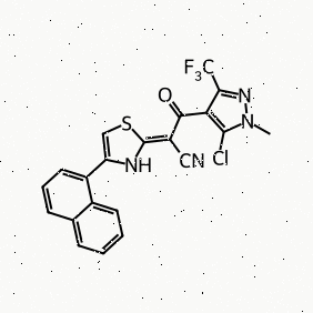 Cn1nc(C(F)(F)F)c(C(=O)C(C#N)=C2NC(c3cccc4ccccc34)=CS2)c1Cl